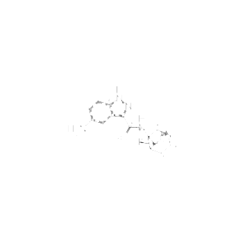 Nc1ccc2[nH]nc(C(=O)N[C@@H]3CN4CCC3CC4)c2c1